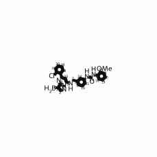 Bc1cnn2c(NCc3cccc(NC(=O)Nc4ccccc4OC)c3)cc(-c3ccccc3Cl)nc12